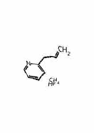 C.C=CCc1ccccn1.F